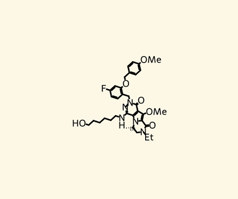 CCN1C[C@H](C)n2c(c(OC)c3c(=O)n(Cc4ccc(F)cc4OCc4ccc(OC)cc4)nc(NCCCCCCO)c32)C1=O